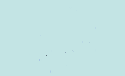 C=NN1/C=C(\C)Cc2ccccc2OCC/C=C/COC2(C)CCN(CC2)c2c([C@H](OC(C)(C)C)C(=O)OC)c(C)nc3cc1nn23